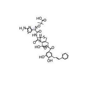 CC(C)(O/N=C(\C(=O)NC1C(=O)N2C(C(=O)O)=C(CNC(=O)c3cc(O)c(O)c(CC=Cc4ccccc4)c3)CS[C@@H]12)c1csc(N)n1)C(=O)O